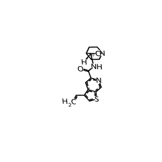 C=Cc1csc2cnc(C(=O)N[C@H]3CN4CCC3CC4)cc12